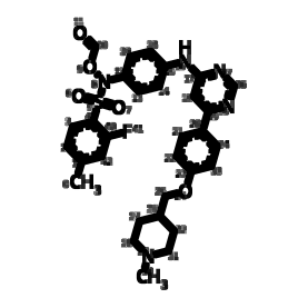 Cc1ccc(S(=O)(=O)N(OC=O)c2ccc(Nc3cc(-c4ccc(OCC5CCN(C)CC5)cc4)ncn3)cc2)c(F)c1